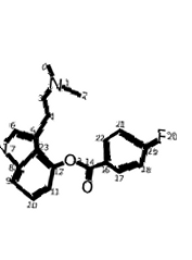 CN(C)CCc1c[nH]c2cccc(OC(=O)c3ccc(F)cc3)c12